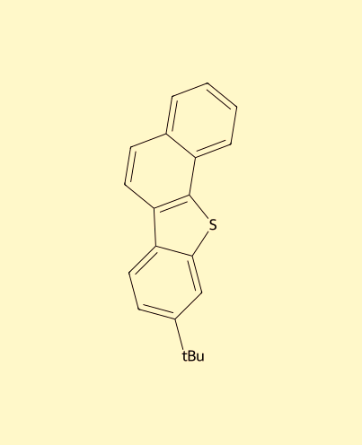 CC(C)(C)c1ccc2c(c1)sc1c3ccccc3ccc21